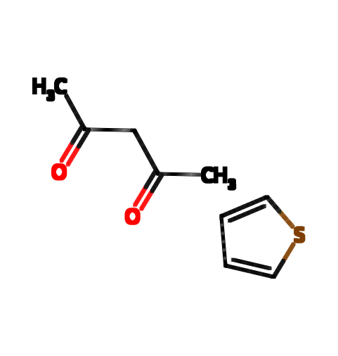 CC(=O)CC(C)=O.c1ccsc1